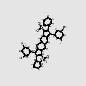 O=S1(=O)C2=C(C(c3cc(F)cc(F)c3)=c3cc4cc5c(cc4cc32)=C(c2cc(F)cc(F)c2)C2=C5S(=O)(=O)c3ccccc32)c2ccccc21